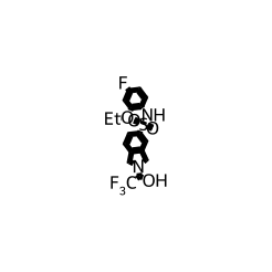 CCOc1cc(F)ccc1NS(=O)(=O)c1ccc2c(c1)CN(C(O)C(F)(F)F)C2